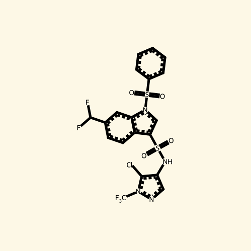 O=S(=O)(Nc1cnn(C(F)(F)F)c1Cl)c1cn(S(=O)(=O)c2ccccc2)c2cc(C(F)F)ccc12